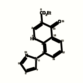 CCOC(=O)c1c[nH]c2c(-n3cccn3)cccc2c1=O